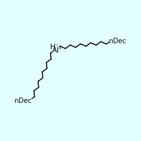 CCCCCCCCCCCCCCCCCCC[CH2][Al+][CH2]CCCCCCCCCCCCCCCCCCC.[H-]